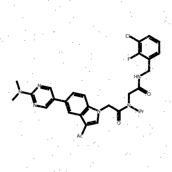 CC(=O)c1cn(CC(=O)N(CC(=O)NCc2cccc(Cl)c2F)C(C)C)c2ccc(-c3cnc(N(C)C)nc3)cc12